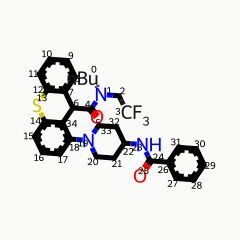 CCCCN(CC(F)(F)F)C(=O)C1c2ccccc2Sc2cccc(N3CCC(NC(=O)c4ccccc4)CC3)c21